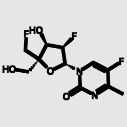 Cc1nc(=O)n([C@@H]2O[C@@](CO)(CF)[C@@H](O)[C@H]2F)cc1F